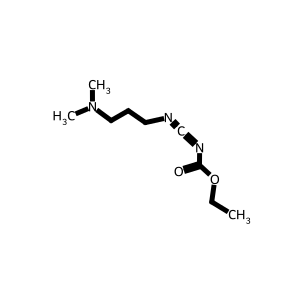 CCOC(=O)N=C=NCCCN(C)C